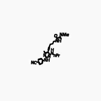 CCCNc1nc(Nc2ccc(C#N)cc2)nc(C)c1C#CCCCNC(=O)[C@H](C)NC